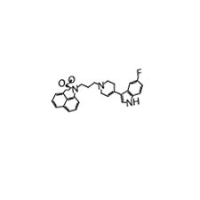 O=S1(=O)c2cccc3cccc(c23)N1CCCN1CC=C(c2c[nH]c3ccc(F)cc23)CC1